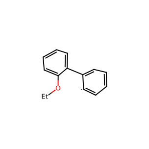 CCOc1ccccc1-c1[c]cccc1